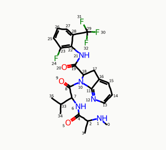 CNC(C)C(=O)NC(C(=O)N1c2ncccc2CC1C(=O)Nc1c(F)cccc1C(F)(F)F)C(C)C